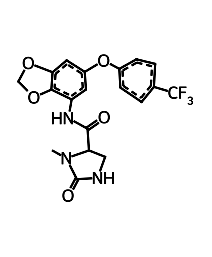 CN1C(=O)NCC1C(=O)Nc1cc(Oc2ccc(C(F)(F)F)cc2)cc2c1OCO2